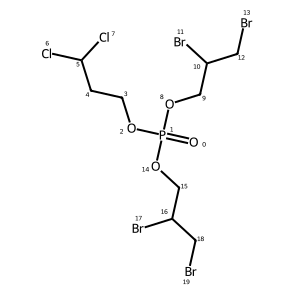 O=P(OCCC(Cl)Cl)(OCC(Br)CBr)OCC(Br)CBr